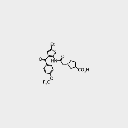 CCc1cc(C(=O)c2ccc(OC(F)(F)F)cc2)c(NC(=O)CN2CCC(C(=O)O)C2)s1